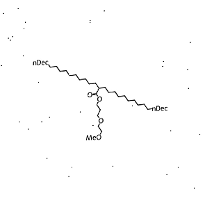 CCCCCCCCCCCCCCCCCCCCC(CCCCCCCCCCCCCCCCCCCC)C(=O)OCCCOCCOC